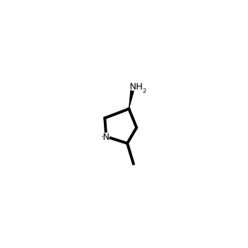 CC1C[C@H](N)C[N]1